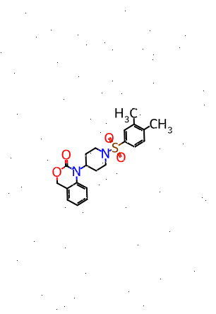 Cc1ccc(S(=O)(=O)N2CCC(N3C(=O)OCc4ccccc43)CC2)cc1C